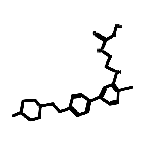 Cc1ccc(-c2ccc(CCN3CCN(C)CC3)cc2)cc1NCCNC(=O)OC(C)(C)C